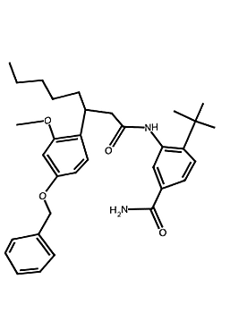 CCCCCC(CC(=O)Nc1cc(C(N)=O)ccc1C(C)(C)C)c1ccc(OCc2ccccc2)cc1OC